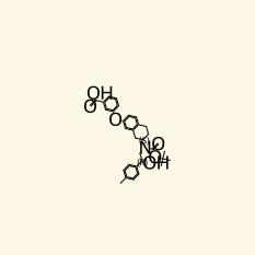 Cc1ccc([C@@H](O)CN(C(=O)OC(C)(C)C)[C@H]2CCc3ccc(Oc4cccc(C(=O)O)c4)cc3C2)cc1